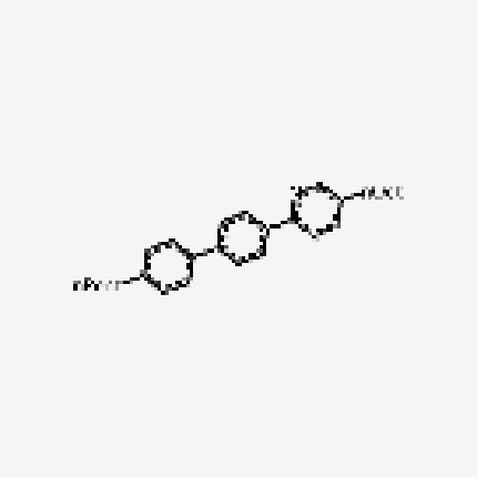 CCCCCCCCc1cnc(-c2ccc(-c3ccc(CCCCC)cc3)cc2)nc1